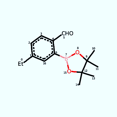 CCc1ccc(C=O)c(B2OC(C)(C)C(C)(C)O2)c1